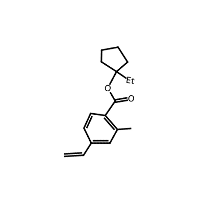 C=Cc1ccc(C(=O)OC2(CC)CCCC2)c(C)c1